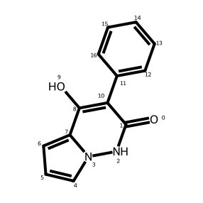 O=c1[nH]n2cccc2c(O)c1-c1ccccc1